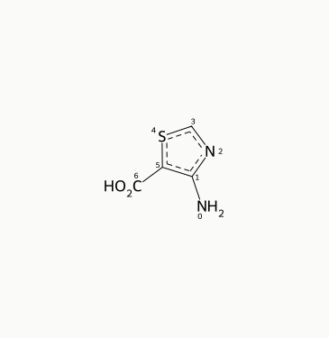 Nc1ncsc1C(=O)O